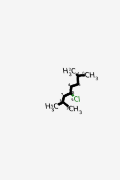 CC(C)CCC(Cl)CC(C)C